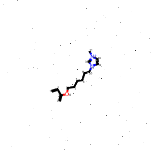 C=CC(=C)OCCCCCCn1cc[n+](C)c1